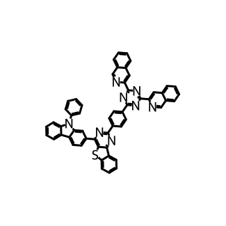 c1ccc(-n2c3ccccc3c3ccc(-c4nc(-c5ccc(-c6nc(-c7cc8ccccc8cn7)nc(-c7cc8ccccc8cn7)n6)cc5)nc5c4sc4ccccc45)cc32)cc1